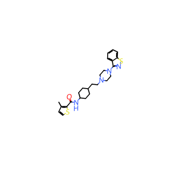 Cc1ccsc1C(=O)NC1CCC(CCN2CCN(c3nsc4ccccc34)CC2)CC1